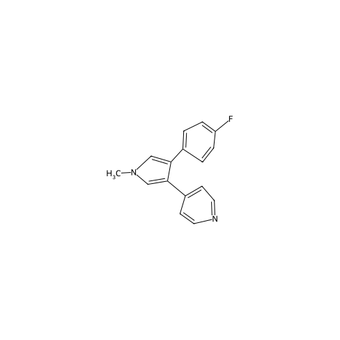 Cn1cc(-c2ccncc2)c(-c2ccc(F)cc2)c1